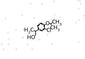 [CH2]C(CO)c1ccc(OC(C)C)c(Cl)c1